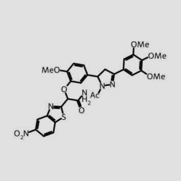 COc1ccc(C2CC(c3cc(OC)c(OC)c(OC)c3)=NN2C(C)=O)cc1OC(C(N)=O)c1nc2cc([N+](=O)[O-])ccc2s1